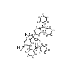 Cc1ccc(C(c2ccc3c(c2)c2ccccc2n3-c2ccccc2)(C(F)(F)F)C(F)(F)F)cc1-c1ccccc1Nc1ccccc1